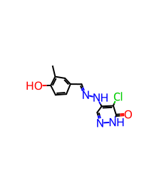 Cc1cc(/C=N/Nc2cn[nH]c(=O)c2Cl)ccc1O